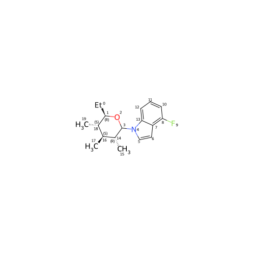 CC[C@H]1OC(n2ccc3c(F)cccc32)[C@H](C)[C@@H](C)[C@@H]1C